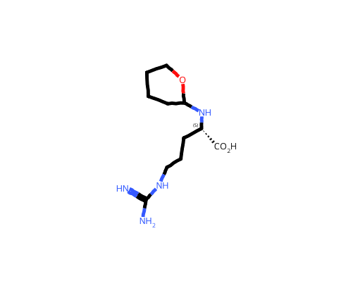 N=C(N)NCCC[C@H](NC1CCCCO1)C(=O)O